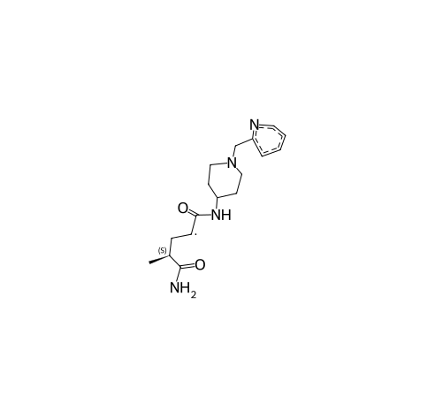 C[C@@H](C[CH]C(=O)NC1CCN(Cc2ccccn2)CC1)C(N)=O